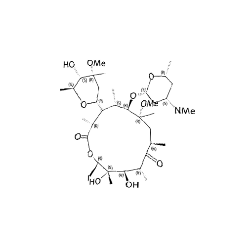 CN[C@@H]1C[C@H](O[C@@H]2[C@@H](C)C([C@H]3C[C@@](C)(OC)[C@@H](O)[C@H](C)O3)[C@@H](C)C(=O)O[C@H](I)[C@@](C)(O)[C@H](O)[C@@H](C)C(=O)[C@H](C)C[C@@]2(C)OC)O[C@H](C)C1